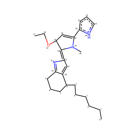 CCCCCCC1CCCC2=NC(=C3C(OCC)C=C(c4ccc[nH]4)N3C)C=C21